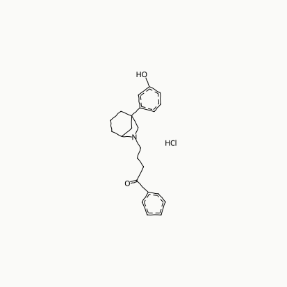 Cl.O=C(CCCN1CC2(c3cccc(O)c3)CCCC1C2)c1ccccc1